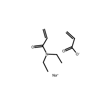 C=CC(=O)N(CC)CC.C=CC(=O)[O-].[Na+]